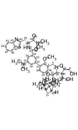 COc1c(CN2O[C@@H](CO)[C@@H]([C@H](C)O)[C@H]2C(=O)N[C@H]2C[C@H]3C[C@@H]([C@@H]2C)C3(C)C)cccc1-c1cc(C(=O)N[C@H](Cc2nc3ccccc3s2)C(=O)N(C)C)cc(N(C)C)c1